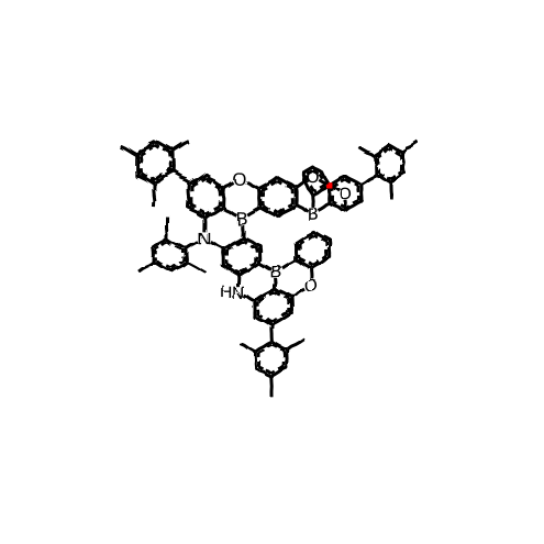 Cc1cc(C)c(-c2cc3c4c(c2)Oc2ccccc2B4c2cc4c(cc2N3)N(c2c(C)cc(C)cc2C)c2cc(-c3c(C)cc(C)cc3C)cc3c2B4c2cc4c(cc2O3)Oc2cc(-c3c(C)cc(C)cc3C)cc3c2B4c2ccccc2O3)c(C)c1